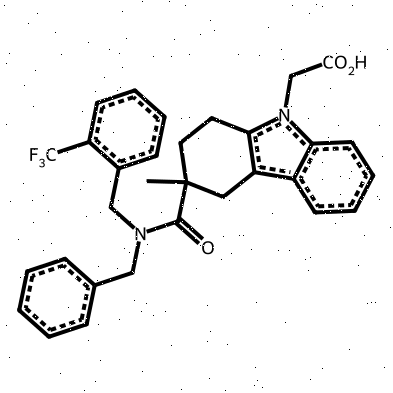 CC1(C(=O)N(Cc2ccccc2)Cc2ccccc2C(F)(F)F)CCc2c(c3ccccc3n2CC(=O)O)C1